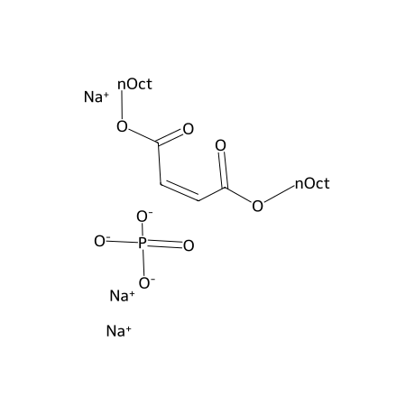 CCCCCCCCOC(=O)/C=C\C(=O)OCCCCCCCC.O=P([O-])([O-])[O-].[Na+].[Na+].[Na+]